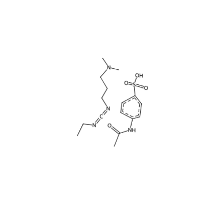 CC(=O)Nc1ccc(S(=O)(=O)O)cc1.CCN=C=NCCCN(C)C